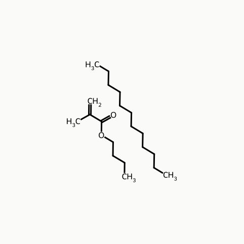 C=C(C)C(=O)OCCCC.CCCCCCCCCCCC